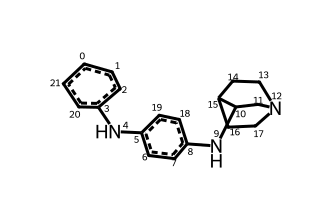 c1ccc(Nc2ccc(NC3CN4CCC3CC4)cc2)cc1